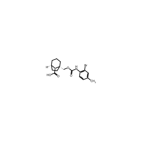 Cc1ccc(NC(=O)OC[C@]23CCC[C@H](CC2)N3C(=O)O)c(Br)c1